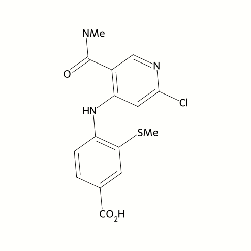 CNC(=O)c1cnc(Cl)cc1Nc1ccc(C(=O)O)cc1SC